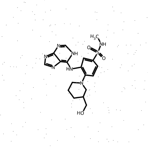 CNS(=O)(=O)c1ccc(N2CCCC(CO)C2)c(Nc2[nH]cnc3ncnc2-3)c1